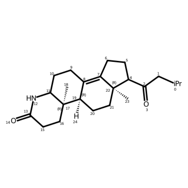 CC(C)CC(=O)C1CCC2=C3CCC4NC(=O)CC[C@]4(C)[C@@H]3CC[C@@]21C